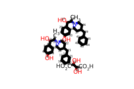 CC(C(O)c1ccc(O)cc1)N1CCC(Cc2ccccc2)CC1.CC(C(O)c1ccc(O)cc1)N1CCC(Cc2ccccc2)CC1.O=C(O)C(O)C(O)C(=O)O